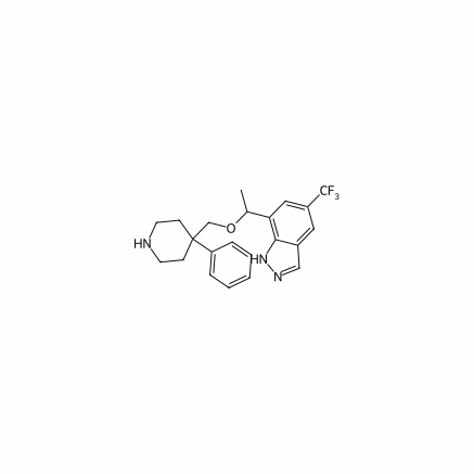 CC(OCC1(c2ccccc2)CCNCC1)c1cc(C(F)(F)F)cc2cn[nH]c12